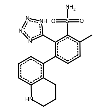 Cc1ccc(-c2cccc3c2CCCN3)c(-c2nnn[nH]2)c1S(N)(=O)=O